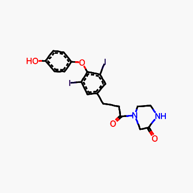 O=C1CN(C(=O)CCc2cc(I)c(Oc3ccc(O)cc3)c(I)c2)CCN1